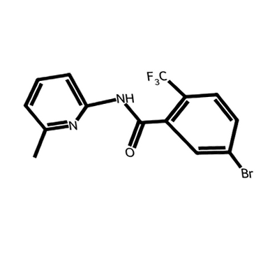 Cc1cccc(NC(=O)c2cc(Br)ccc2C(F)(F)F)n1